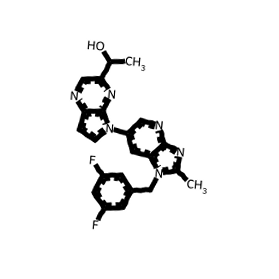 Cc1nc2ncc(-n3ccc4ncc(C(C)O)nc43)cc2n1Cc1cc(F)cc(F)c1